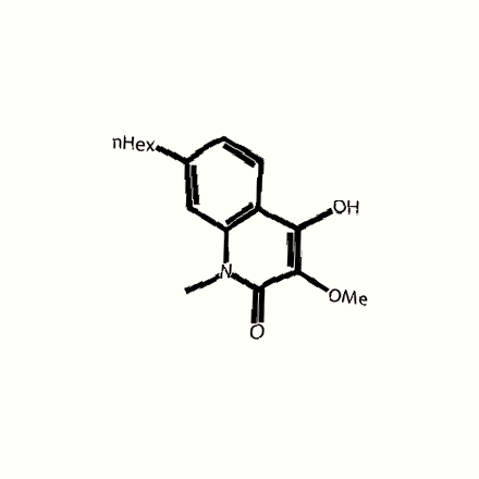 CCCCCCc1ccc2c(O)c(OC)c(=O)n(C)c2c1